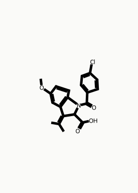 COc1ccc2c(c1)C(=C(C)C)C(C(=O)O)N2C(=O)c1ccc(Cl)cc1